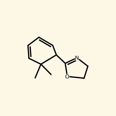 CC1(C)C=CC=CC1C1=NCCO1